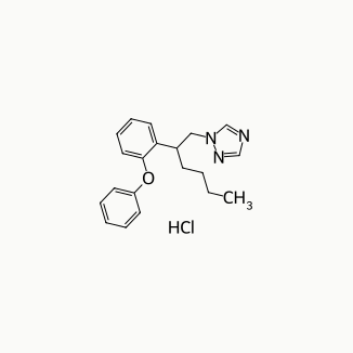 CCCCC(Cn1cncn1)c1ccccc1Oc1ccccc1.Cl